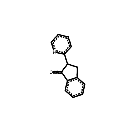 O=C1c2ccccc2CC1c1ccccn1